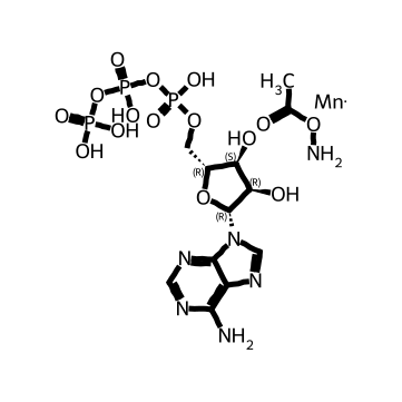 CC(=O)ON.Nc1ncnc2c1ncn2[C@@H]1O[C@H](COP(=O)(O)OP(=O)(O)OP(=O)(O)O)[C@@H](O)[C@H]1O.[Mn]